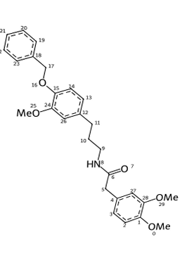 COc1ccc(CC(=O)NCCCc2ccc(OCc3ccccc3)c(OC)c2)cc1OC